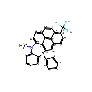 CN1c2ccccc2B(c2ccccc2)c2cc3ccc(C(F)(F)F)c4ccc5ccc1c2c5c34